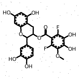 COc1c(O)c(O)c(F)c(C(=O)OC2Cc3c(O)cc(O)cc3OC2c2ccc(O)c(O)c2)c1F